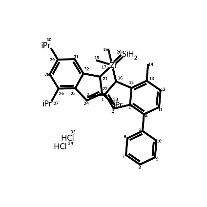 CC1=Cc2c(-c3ccccc3)ccc(C)c2[CH]1[Zr]([CH3])([CH3])(=[SiH2])[CH]1C(C(C)C)=Cc2c(C(C)C)cc(C(C)C)cc21.Cl.Cl